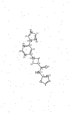 O=C(Nc1nccs1)C1CN(c2cc(-n3cncn3)ncn2)C1